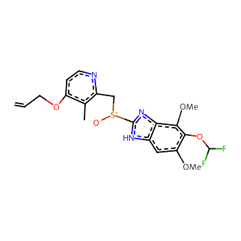 C=CCOc1ccnc(C[S+]([O-])c2nc3c(OC)c(OC(F)F)c(OC)cc3[nH]2)c1C